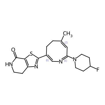 C/C1=C/C(N2CCC(F)CC2)=N\C=C(\c2nc3c(s2)C(=O)NCC3)CC1